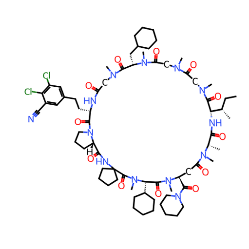 CC[C@H](C)[C@@H]1NC(=O)[C@H](C)N(C)C(=O)C[C@@H](C(=O)N2CCCCC2)N(C)C(=O)[C@H](C2CCCCC2)N(C)C(=O)C2(CCCC2)NC(=O)[C@@H]2CCCN2C(=O)[C@H](CCc2cc(Cl)c(Cl)c(C#N)c2)NC(=O)CN(C)C(=O)[C@H](CC2CCCCC2)N(C)C(=O)CN(C)C(=O)CN(C)C1=O